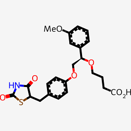 COc1cccc([C@H](COc2ccc(CC3SC(=O)NC3=O)cc2)OCCCC(=O)O)c1